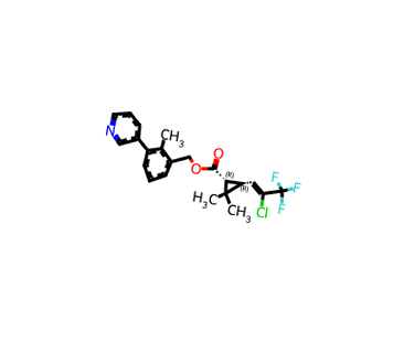 Cc1c(COC(=O)[C@@H]2[C@H](C=C(Cl)C(F)(F)F)C2(C)C)cccc1-c1cccnc1